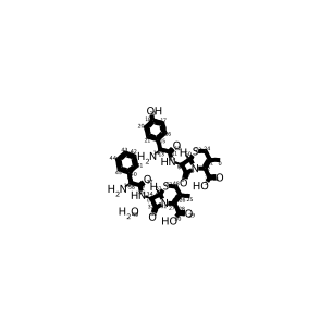 CC1=C(C(=O)O)N2C(=O)[C@@H](NC(=O)[C@H](N)c3ccc(O)cc3)[C@H]2SC1.CC1=C(C(=O)O)N2C(=O)[C@@H](NC(=O)[C@H](N)c3ccccc3)[C@H]2SC1.O